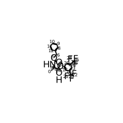 C[C@@H](NC(=O)OCc1ccccc1)C(O)Oc1cc(C(F)(F)F)cc(C(F)(F)F)c1